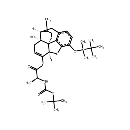 CC1CC[C@]23c4c5ccc(O[Si](C)(C)C(C)(C)C)c4O[C@H]2C(OC(=O)[C@H](C)NC(=O)OC(C)(C)C)=CC[C@@]3(O)[C@H]1C5